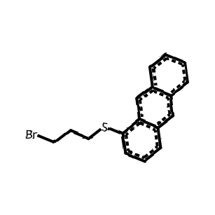 BrCCCSc1cccc2cc3ccccc3cc12